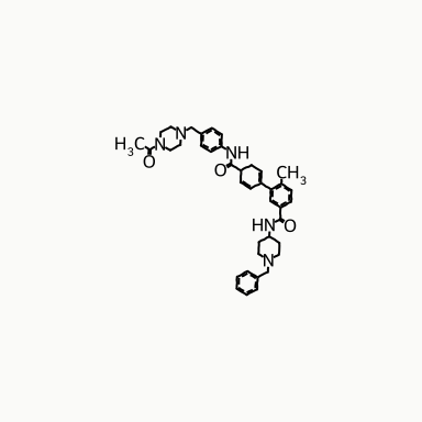 CC(=O)N1CCN(Cc2ccc(NC(=O)C3C=CC(c4cc(C(=O)NC5CCN(Cc6ccccc6)CC5)ccc4C)=CC3)cc2)CC1